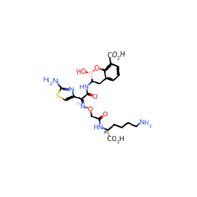 NCCCC[C@@H](NC(=O)CO/N=C(\C(=O)NC1Cc2cccc(C(=O)O)c2OB1O)c1csc(N)n1)C(=O)O